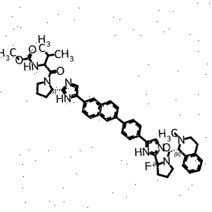 COC(=O)NC(C(=O)N1CCC[C@H]1c1ncc(-c2ccc3cc(-c4ccc(-c5cnc([C@]6(F)CCCN6C(=O)[C@H]6c7ccccc7CCN6C)[nH]5)cc4)ccc3c2)[nH]1)C(C)C